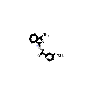 COc1ccnc(C(=O)N/N=C2\N=C(N)c3ccccc32)c1